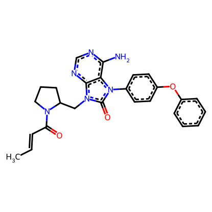 CC=CC(=O)N1CCCC1Cn1c(=O)n(-c2ccc(Oc3ccccc3)cc2)c2c(N)ncnc21